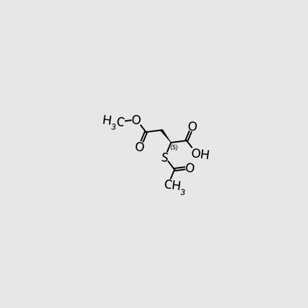 COC(=O)C[C@H](SC(C)=O)C(=O)O